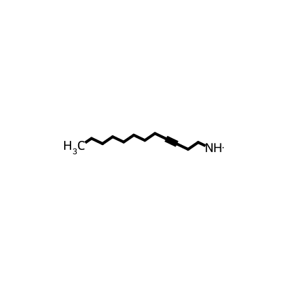 CCCCCCCCC#CCC[NH]